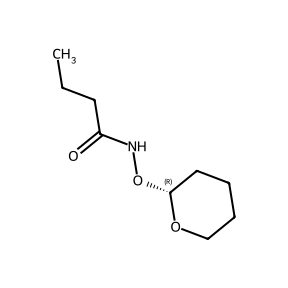 CCCC(=O)NO[C@@H]1CCCCO1